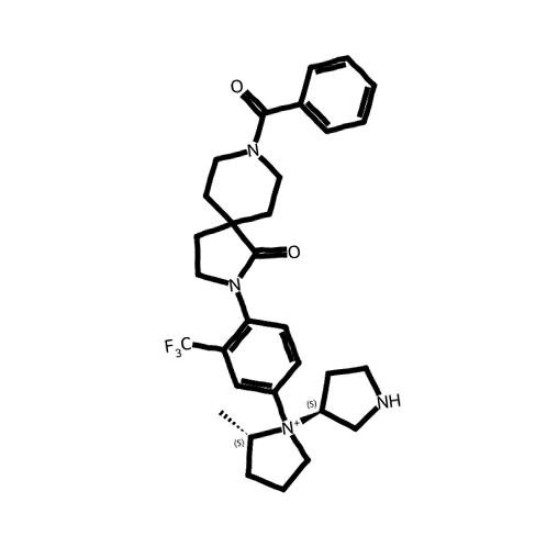 C[C@H]1CCC[N+]1(c1ccc(N2CCC3(CCN(C(=O)c4ccccc4)CC3)C2=O)c(C(F)(F)F)c1)[C@H]1CCNC1